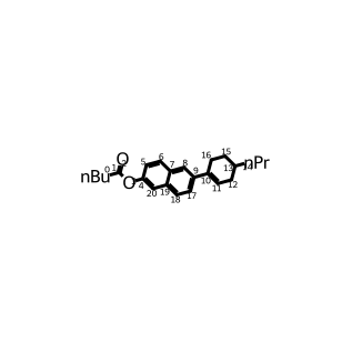 CCCCC(=O)Oc1ccc2cc(C3=CCC(CCC)CC3)ccc2c1